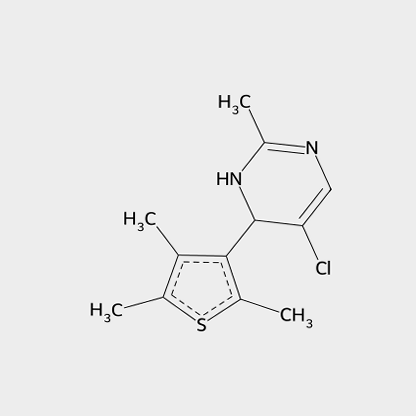 CC1=NC=C(Cl)C(c2c(C)sc(C)c2C)N1